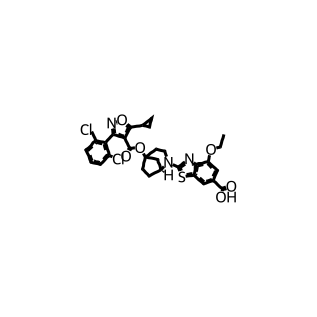 CCOc1cc(C(=O)O)cc2sc(N3CCC4(OC(=O)c5c(-c6c(Cl)cccc6Cl)noc5C5CC5)CC[C@H]3C4)nc12